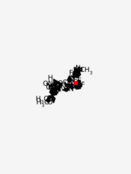 C[C@H]1c2c(nn(-c3ccc(F)c(F)c3)c2-n2ccn(-c3ccc4c(cnn4C)c3F)c2=O)CCN1C(=O)c1cn2cc([C@@H]3CCOC(C)(C)C3)ccc2c1C1(c2noc(=O)[nH]2)CC1